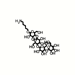 NCCCCCO[C@@H]1OC(CO)[C@@H](O[C@@H]2OC(CO)[C@@H](O[C@@H]3OC(CO)[C@@H](O[C@@H]4OC(CO)[C@@H](O)[C@H](O)C4O)[C@H](O)C3O)[C@H](O)C2O)[C@H](O)C1O